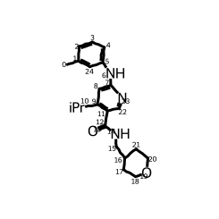 Cc1cccc(Nc2cc(C(C)C)c(C(=O)NCC3CCOCC3)cn2)c1